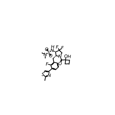 Cc1nc(-c2cccc(C[C@H]3[C@@H](NS(=O)(=O)N(C)C)C(F)(F)CN3C(=O)C3(O)CCC3)c2F)cs1